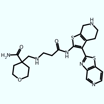 NC(=O)C1(CNCCC(=O)Nc2sc3c(c2-c2nc4cnccc4s2)CCNC3)CCOCC1